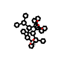 c1ccc(-c2cc(-c3ccccc3)cc(-c3cc(-c4cc(-c5ccccc5)cc(-c5ccccc5)c4)cc(C4(c5cc(-c6cc(-c7ccccc7)cc(-c7ccccc7)c6)cc(-c6cc(-c7ccccc7)cc(-c7ccccc7)c6)c5)c5ccccc5-c5ccc(-c6ncncn6)cc54)c3)c2)cc1